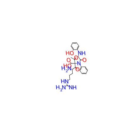 CC(=O)C(C(=O)O)(C(=O)C(N)CCCNC(=N)N)N(C(=O)CNc1ccccc1O)c1ccccc1